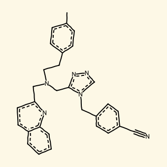 Cc1ccc(CCN(Cc2ccc3ccccc3n2)Cc2nncn2Cc2ccc(C#N)cc2)cc1